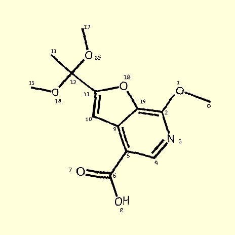 COc1ncc(C(=O)O)c2cc(C(C)(OC)OC)oc12